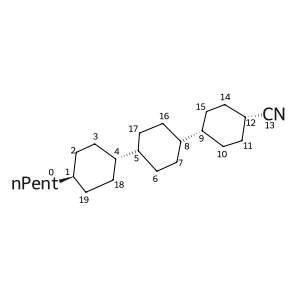 CCCCC[C@H]1CC[C@H](C2CCC([C@H]3CC[C@@H](C#N)CC3)CC2)CC1